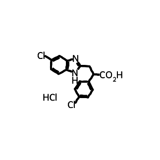 Cl.O=C(O)C(Cc1nc2cc(Cl)ccc2[nH]1)c1ccc(Cl)cc1